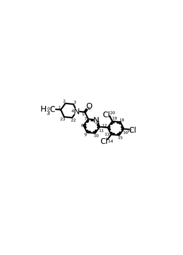 CC1CCN(C(=O)c2cccc(-c3c(Cl)cc(Cl)cc3Cl)n2)CC1